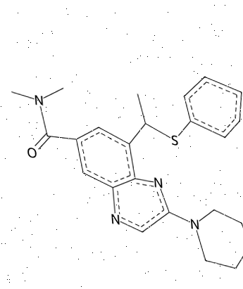 CC(Sc1ccccc1)c1cc(C(=O)N(C)C)cc2ncc(N3CCOCC3)nc12